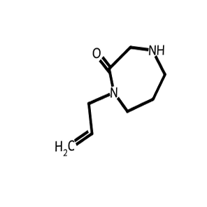 C=CCN1CCCNCC1=O